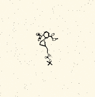 COC(=O)C1=CC=CC([N+](=O)[O-])C(N2CCCC(CCNC(=O)OC(C)(C)C)C2)=C1